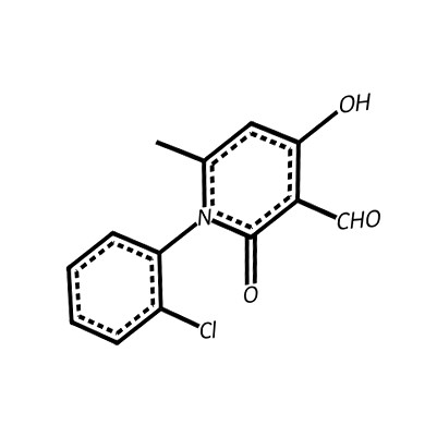 Cc1cc(O)c(C=O)c(=O)n1-c1ccccc1Cl